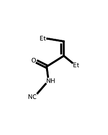 CCC=C(CC)C(=O)NC#N